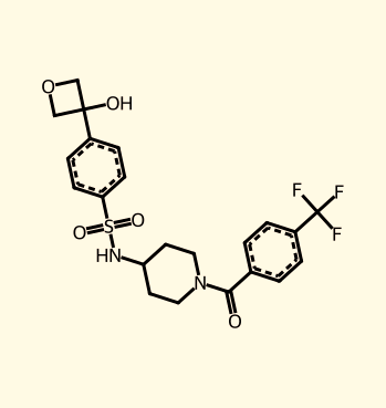 O=C(c1ccc(C(F)(F)F)cc1)N1CCC(NS(=O)(=O)c2ccc(C3(O)COC3)cc2)CC1